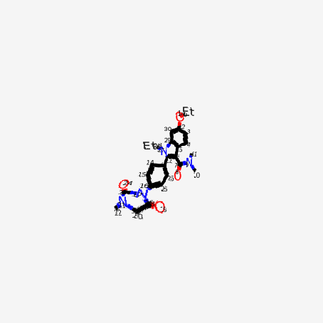 CCOc1ccc2c(C(=O)N(C)C)c(-c3ccc(N4C(=O)CN(C)C4=O)cc3)n(CC)c2c1